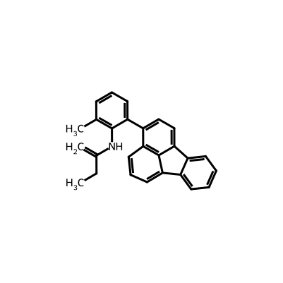 C=C(CC)Nc1c(C)cccc1-c1ccc2c3c(cccc13)-c1ccccc1-2